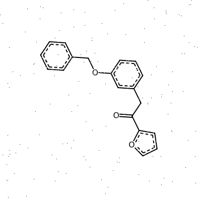 O=C(Cc1cccc(OCc2ccccc2)c1)c1ccco1